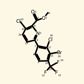 COC(=O)c1nc(-c2ccc(C(F)(F)F)c(Br)c2Cl)ccc1Cl